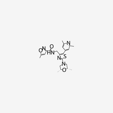 Cc1cc(-c2sc(N3C[C@@H](C)O[C@@H](C)C3)nc2CNC(=O)c2cc(C)on2)cc(C)n1